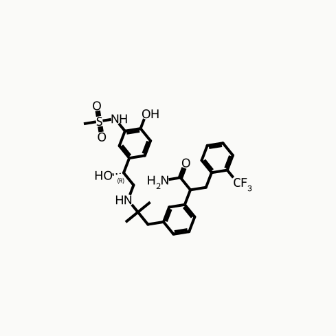 CC(C)(Cc1cccc(C(Cc2ccccc2C(F)(F)F)C(N)=O)c1)NC[C@H](O)c1ccc(O)c(NS(C)(=O)=O)c1